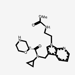 COC(=O)NCCn1cc(CN(C(=O)[C@H]2CNCCO2)C2CC2)c2cccnc21